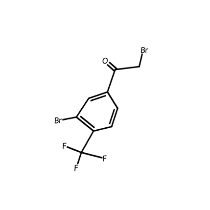 O=C(CBr)c1ccc(C(F)(F)F)c(Br)c1